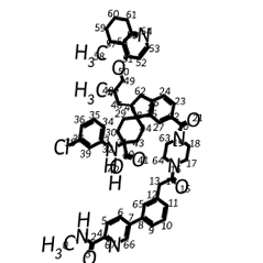 CNC(=O)c1ccc(-c2cccc(CC(=O)N3CCN(C(=O)c4ccc5c(c4)C4(CCC(Nc6cccc(Cl)c6)(C(=O)O)CC4)[C@@H](C[C@@H](C)COc4ccnc6c4[C@H](C)CCC6)C5)CC3)c2)cn1